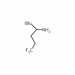 CC(C)(C)C(N)CCC(F)(F)F